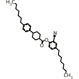 CCCCCCCCc1ccc(OC(=O)C2CCC(c3ccc(CCCCCCC)cc3)CC2)c(C#N)c1